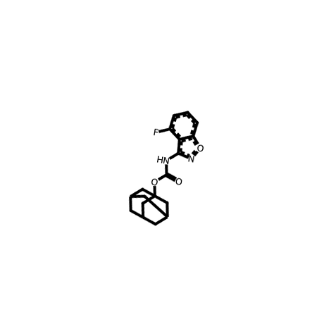 O=C(Nc1noc2cccc(F)c12)OC12CC3CC(CC(C3)C1)C2